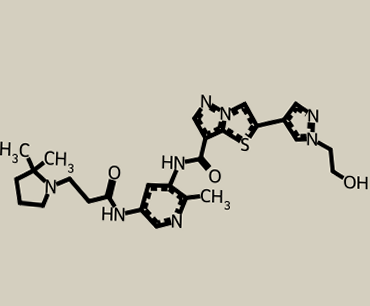 Cc1ncc(NC(=O)CCN2CCCC2(C)C)cc1NC(=O)c1cnn2cc(-c3cnn(CCO)c3)sc12